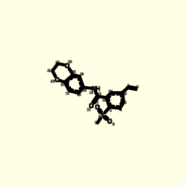 C=Cc1ccc(S(C)(=O)=O)c(C(=O)Nc2ccc3c(c2)OCCO3)c1